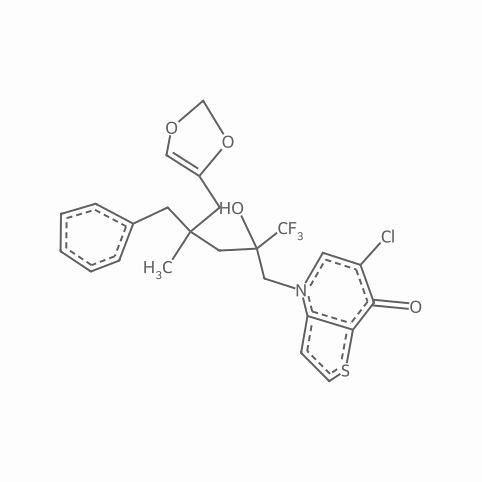 CC(CC1=COCO1)(Cc1ccccc1)CC(O)(Cn1cc(Cl)c(=O)c2sccc21)C(F)(F)F